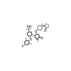 Cc1cc(F)cc(C)c1Oc1ccc(C(C)(C)O)cc1-c1cn(C)c(=O)cc1OC1CCC(C)(N2CCCC2=O)CC1